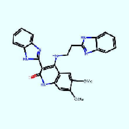 COc1cc2[nH]c(=O)c(-c3nc4ccccc4[nH]3)c(NCCc3nc4ccccc4[nH]3)c2cc1OC